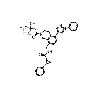 CC(C)(C)NC(=O)N1CCc2c(-c3cnn(-c4ccccc4)c3)ccc(CNC(=O)C3C[C@H]3c3ccccc3)c2C1